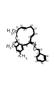 Cc1cc(C)c2c(c1)CC(=NOCc1ccccc1)/C=C/CC/C=C/C[C@@H](C)OC2=O